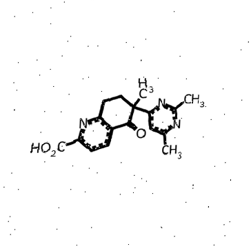 Cc1cc(C2(C)CCc3nc(C(=O)O)ccc3C2=O)nc(C)n1